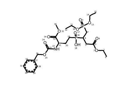 CCOC(=O)CC(CP(=O)(OCC)OCC)P(=O)(O)CC[C@@H](NC(=O)OCc1ccccc1)C(=O)OC